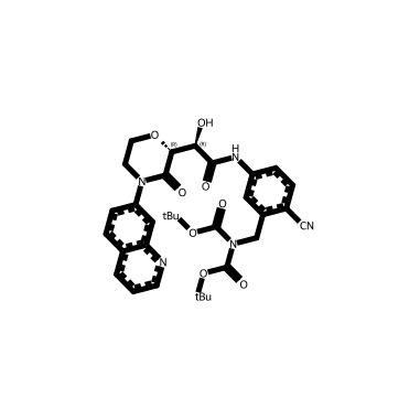 CC(C)(C)OC(=O)N(Cc1cc(NC(=O)[C@H](O)[C@H]2OCCN(c3ccc4cccnc4c3)C2=O)ccc1C#N)C(=O)OC(C)(C)C